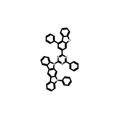 c1ccc(-c2nc(-c3cc(-c4ccccc4)c4c(c3)oc3ccccc34)nc(-n3c4ccccc4c4cc5c6ccccc6n(-c6ccccc6)c5cc43)n2)cc1